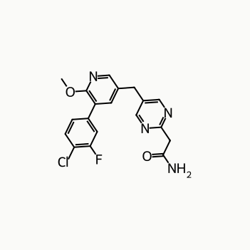 COc1ncc(Cc2cnc(CC(N)=O)nc2)cc1-c1ccc(Cl)c(F)c1